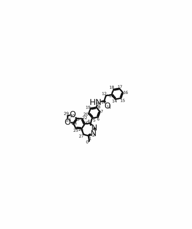 CC1=NN=C(c2ccc(NC(=O)Cc3ccccc3)cc2)c2cc3c(cc2C1)OCO3